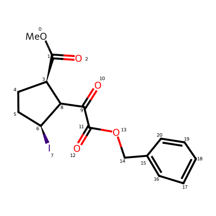 COC(=O)[C@@H]1CC[C@H](I)C1C(=O)C(=O)OCc1ccccc1